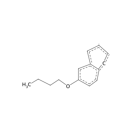 CCCCOc1ccc2cc[c]cc2c1